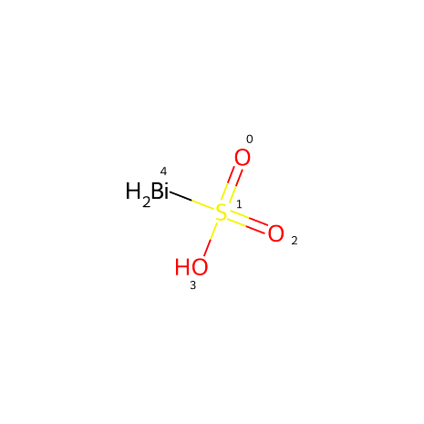 O=[S](=O)(O)[BiH2]